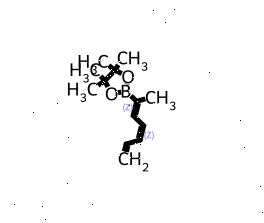 C=C/C=C\C=C(/C)B1OC(C)(C)C(C)(C)O1